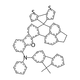 CC1(C)c2ccccc2-c2ccc(N(c3ccccc3)c3cccc4c3oc3c5c(ccc34)C3(c4ccsc4-c4sccc43)c3ccc4c6c(ccc-5c36)CC4)cc21